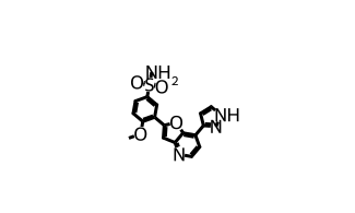 COc1ccc(S(N)(=O)=O)cc1-c1cc2nccc(-c3cc[nH]n3)c2o1